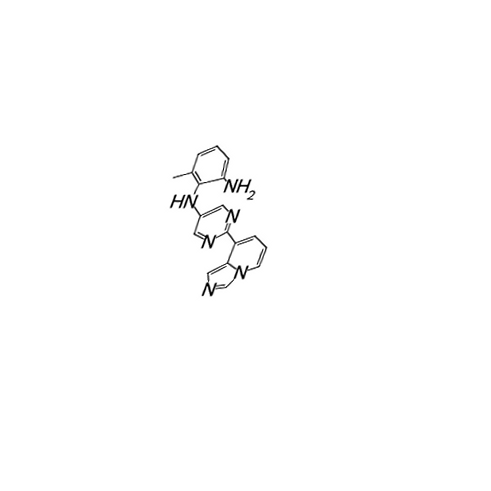 Cc1cccc(N)c1Nc1cnc(-c2cccn3cncc23)nc1